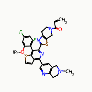 C=CC(=O)N1CCc2nc(-c3nc(-c4cnc5c(c4)CN(C)CC5)c4ccsc4c3-c3c(F)cc(F)cc3OC(C)C)sc2C1